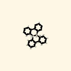 c1ccc2c(c1)-c1ccccc1P1c3ccccc3-c3ccccc3N21